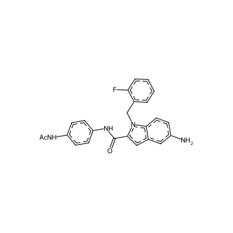 CC(=O)Nc1ccc(NC(=O)c2cc3cc(N)ccc3n2Cc2ccccc2F)cc1